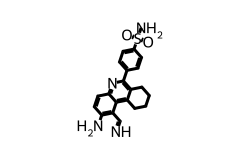 N=Cc1c(N)ccc2nc(-c3ccc(S(N)(=O)=O)cc3)c3c(c12)CCCC3